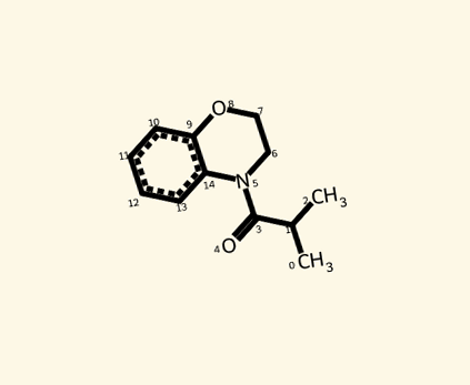 CC(C)C(=O)N1CCOc2ccccc21